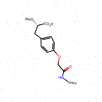 CCCCCCNC(=O)COc1ccc(C[C@H](OC)C(=O)O)cc1